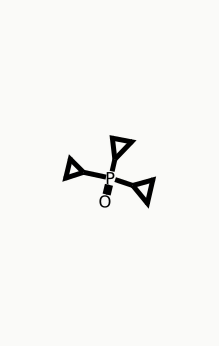 O=P(C1CC1)(C1CC1)C1CC1